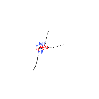 CCCCCCCCCCCCCCNC(=O)C(CCNC(=N)N(C)C)NC(=O)OC(COCCCCCCCCCCCCCC)OCCCCCCCCCCCCCC